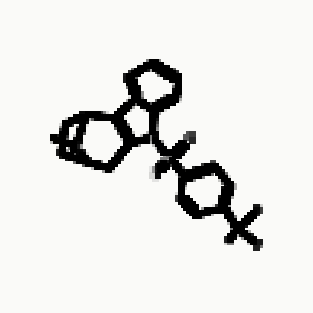 CN1C2CCC1c1c(n(S(=O)(=O)c3ccc(C(F)(F)F)cc3)c3ccccc13)C2